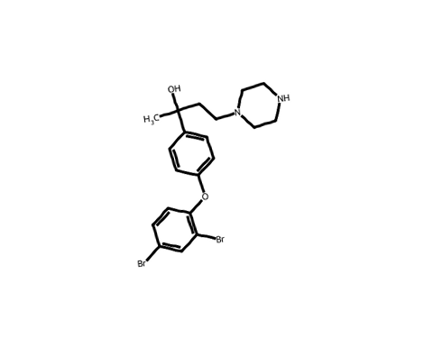 CC(O)(CCN1CCNCC1)c1ccc(Oc2ccc(Br)cc2Br)cc1